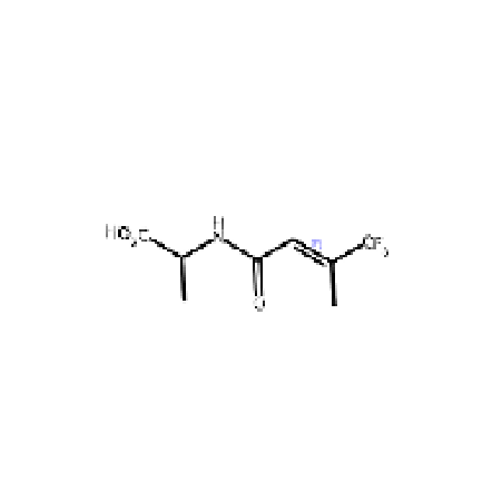 C/C(=C\C(=O)NC(C)C(=O)O)C(F)(F)F